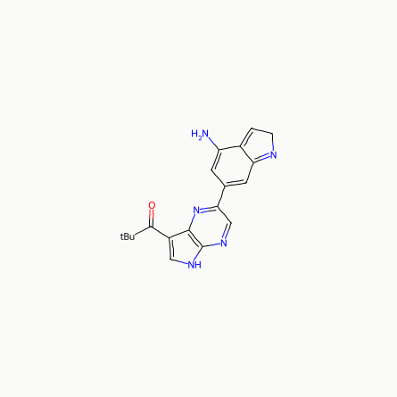 CC(C)(C)C(=O)c1c[nH]c2ncc(-c3cc(N)c4c(c3)=NCC=4)nc12